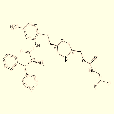 Cc1ccc(CC[C@@H]2CN[C@H](COC(=O)NCC(F)F)CO2)c(NC(=O)[C@@H](N)C(c2ccccc2)c2ccccc2)c1